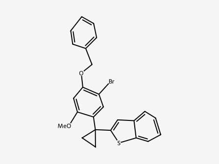 COc1cc(OCc2ccccc2)c(Br)cc1C1(c2cc3ccccc3s2)CC1